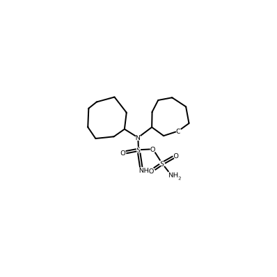 N=S(=O)(OS(N)(=O)=O)N(C1CCCCCCC1)C1CCCCCCC1